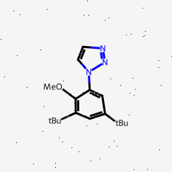 COc1c(-n2ccnn2)cc(C(C)(C)C)cc1C(C)(C)C